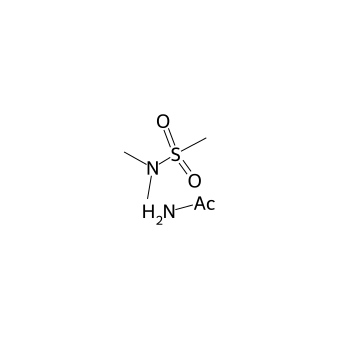 CC(N)=O.CN(C)S(C)(=O)=O